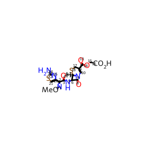 CON=C(C(=O)NC1C(=O)N2C=C(C(=O)OCC(=O)O)CS[C@H]12)c1csc(N)n1